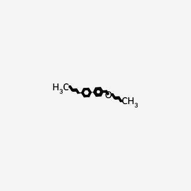 CCC=CCOCc1ccc([C@H]2CC[C@H](CC=CCC)CC2)cc1